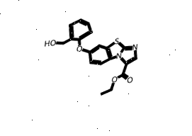 CCOC(=O)c1cnc2sc3cc(Oc4ccccc4CO)ccc3n12